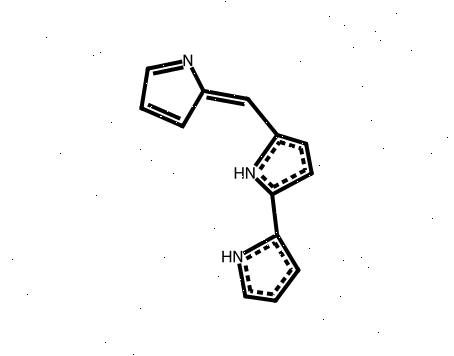 C1=C/C(=C\c2ccc(-c3ccc[nH]3)[nH]2)N=C1